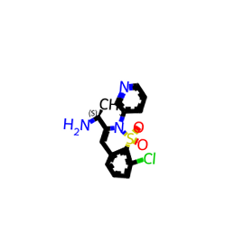 C[C@H](N)C1=Cc2cccc(Cl)c2S(=O)(=O)N1c1cccnc1